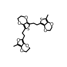 Cc1oc(CCc2sc(CCc3sc(C)c4c3OCCO4)c3c2OCCO3)c2c1OCCO2